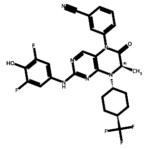 C[C@@H]1C(=O)N(c2cccc(C#N)c2)c2cnc(Nc3cc(F)c(O)c(F)c3)nc2N1[C@H]1CC[C@H](C(F)(F)F)CC1